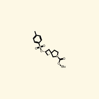 Cc1ccc(S(=O)(=O)O[C@H]2C[C@@]3(CCN(C(=O)OC(C)(C)C)C3)C2)cc1